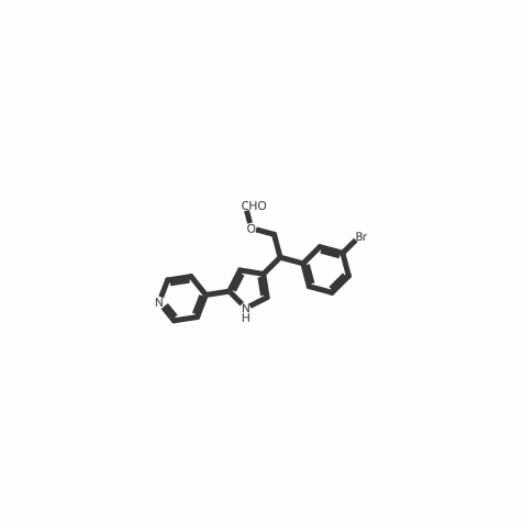 O=COCC(c1cccc(Br)c1)c1c[nH]c(-c2ccncc2)c1